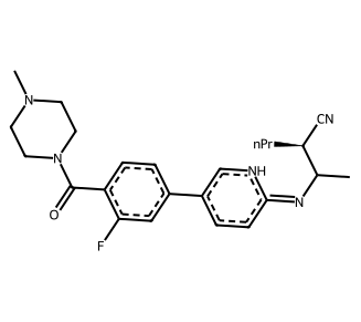 CCC[C@@H](C#N)C(C)/N=c1/ccc(-c2ccc(C(=O)N3CCN(C)CC3)c(F)c2)c[nH]1